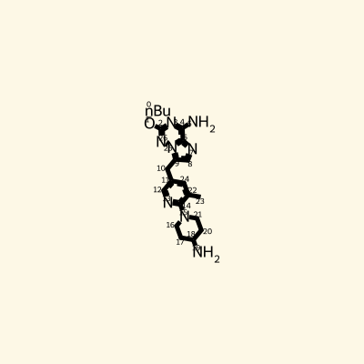 CCCCOc1nc(N)c2ncc(Cc3cnc(N4CCC(N)CC4)c(C)c3)n2n1